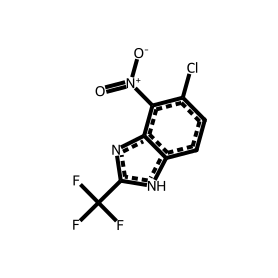 O=[N+]([O-])c1c(Cl)ccc2[nH]c(C(F)(F)F)nc12